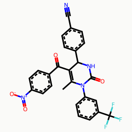 CC1=C(C(=O)c2ccc([N+](=O)[O-])cc2)C(c2ccc(C#N)cc2)NC(=O)N1c1cccc(C(F)(F)F)c1